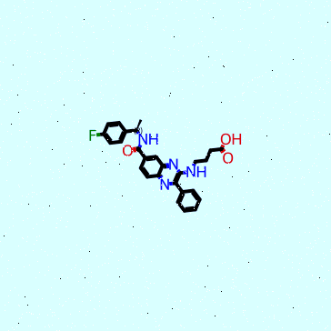 C[C@@H](NC(=O)c1ccc2nc(-c3ccccc3)c(NCCCC(=O)O)nc2c1)c1ccc(F)cc1